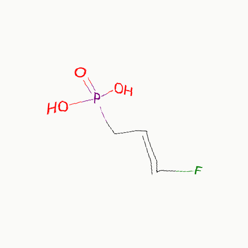 O=P(O)(O)CC=CF